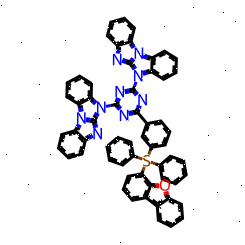 c1ccc(S(c2ccccc2)(c2cccc(-c3nc(-n4c5ccccc5n5c6ccccc6nc45)nc(-n4c5ccccc5n5c6ccccc6nc45)n3)c2)c2cccc3c2oc2ccccc23)cc1